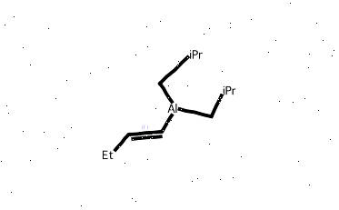 CC/C=[CH]/[Al]([CH2]C(C)C)[CH2]C(C)C